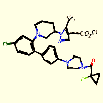 CCOC(=O)c1cnn(C2CCCN(c3cc(Cl)ccc3-c3ccc(N4CCN(C(=O)C5(F)CC5)CC4)cc3)C2)c1C(F)(F)F